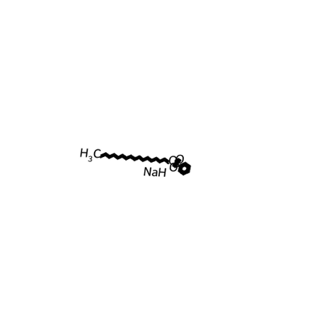 CCCCCCCCCCCCCCCCCCOS(=O)(=O)c1ccccc1.[NaH]